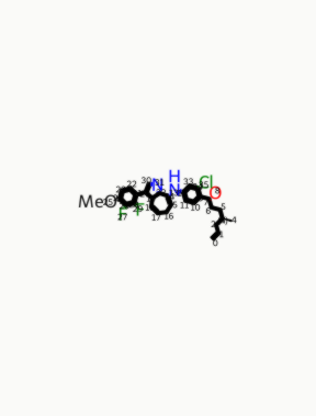 C=CC[C@H](C)CCC(=O)c1ccc(NC2=CCC=CC3C(c4ccc(OC)c(F)c4F)=CN=C23)cc1Cl